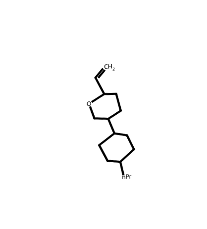 C=CC1CCC(C2CCC(CCC)CC2)CO1